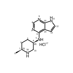 C[C@H]1CC[C@@H](Nc2ncnc3[nH]ccc23)CN1.Cl